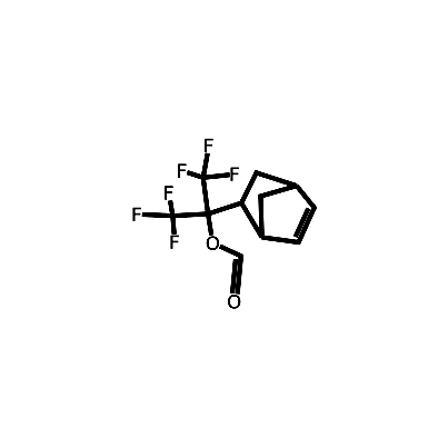 O=COC(C1CC2C=CC1C2)(C(F)(F)F)C(F)(F)F